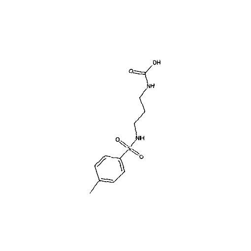 Cc1ccc(S(=O)(=O)NCCCNC(=O)O)cc1